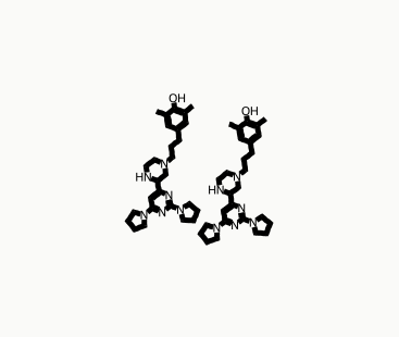 Cc1cc(CCCN2CCNC(c3cc(N4CCCC4)nc(N4CCCC4)n3)C2)cc(C)c1O.Cc1cc(CCCN2CCNC(c3cc(N4CCCC4)nc(N4CCCC4)n3)C2)cc(C)c1O